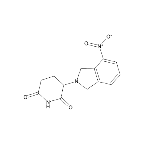 O=C1CCC(N2Cc3cccc([N+](=O)[O-])c3C2)C(=O)N1